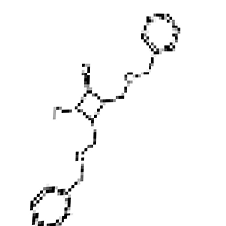 O=C1C(COCc2ccccc2)C(COCc2ccccc2)[C@H]1F